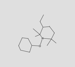 CCC1[CH]CC(C)(C)N(OC2CCCCC2)C1(C)C